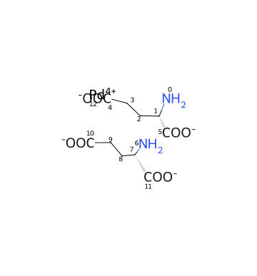 N[C@@H](CCC(=O)[O-])C(=O)[O-].N[C@@H](CCC(=O)[O-])C(=O)[O-].[Pd+4]